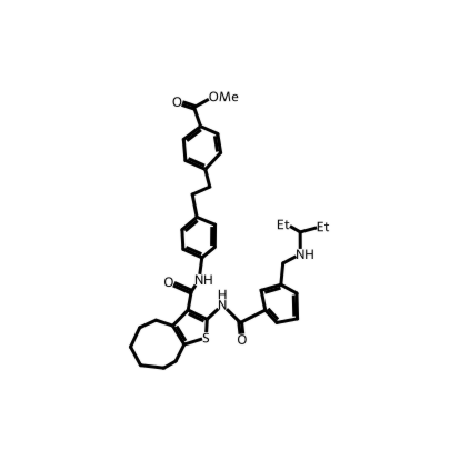 CCC(CC)NCc1cccc(C(=O)Nc2sc3c(c2C(=O)Nc2ccc(CCc4ccc(C(=O)OC)cc4)cc2)CCCCCC3)c1